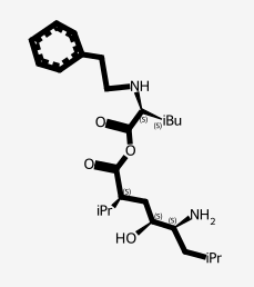 CC[C@H](C)[C@H](NCCc1ccccc1)C(=O)OC(=O)[C@@H](C[C@H](O)[C@@H](N)CC(C)C)C(C)C